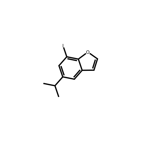 CC(C)c1cc(I)c2occc2c1